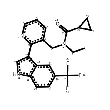 CCN(Cc1cccnc1-c1c[nH]c2ccc(C(F)(F)F)cc12)C(=O)C1CC1